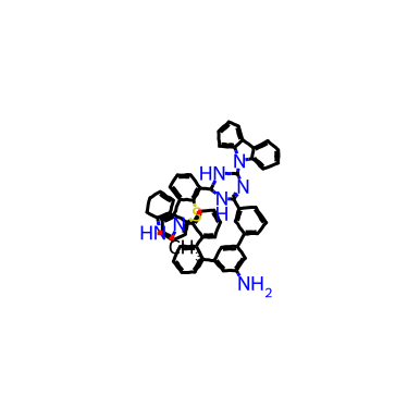 CC1NC2=C(C=CCC2)N1c1ccccc1-c1ccccc1-c1cc(N)cc(-c2cccc(C3=NC(n4c5ccccc5c5ccccc54)NC(c4cccc5c4sc4ccccc45)N3)c2)c1